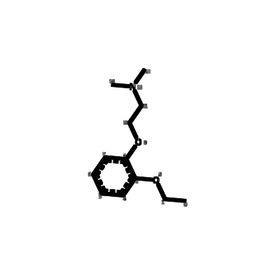 CCOc1c[c]ccc1OCCN(C)C